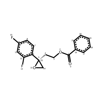 O=C(OCC[C@]1(c2ccc(F)cc2F)CO1)c1ccccc1